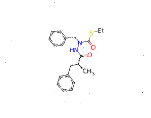 CCSC(=O)N(Cc1ccccc1)NC(=O)[C@@H](C)Cc1ccccc1